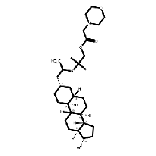 CC(=O)[C@H]1CC[C@H]2[C@@H]3CC[C@H]4C[C@@H](CC(SC(C)(C)COC(=O)CN5CCOCC5)C(=O)O)CC[C@]4(C)[C@H]3CC[C@]12C